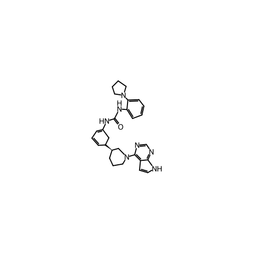 O=C(NC1=CC=CC([C@@H]2CCCN(c3ncnc4[nH]ccc34)C2)C1)Nc1ccccc1N1CCCC1